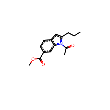 CCCc1cc2ccc(C(=O)OC)cc2n1C(C)=O